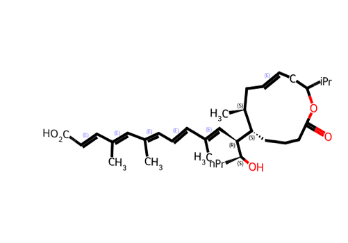 CCC[C@H](O)[C@@H](/C=C(C)/C=C/C=C(C)/C=C(C)/C=C/C(=O)O)[C@H]1CCCC(=O)OC(C(C)C)C/C=C/C[C@@H]1C